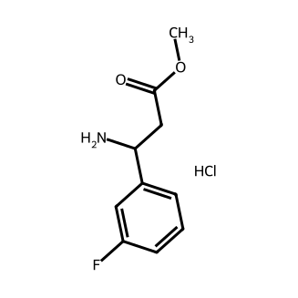 COC(=O)CC(N)c1cccc(F)c1.Cl